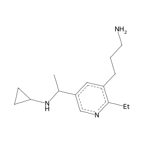 CCc1ncc(C(C)NC2CC2)cc1CCCN